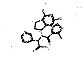 Cc1ncsc1C(=O)N(C(C(N)=O)c1cccnc1)[C@@H]1CCc2c(F)cc(Cl)cc21